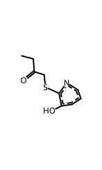 CCC(=O)CSc1ncccc1O